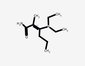 CCC/C(=C(/C)C(N)=O)N(CC)CC